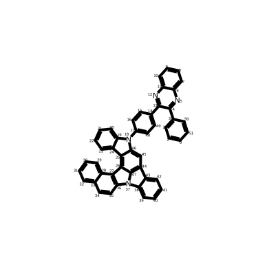 c1ccc(-c2nc3ccccc3nc2-c2ccc(-n3c4ccccc4c4c5c6c7ccccc7ccc6n6c7ccccc7c(cc43)c56)cc2)cc1